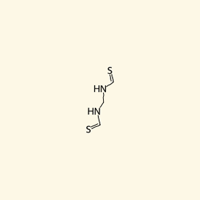 S=CNCNC=S